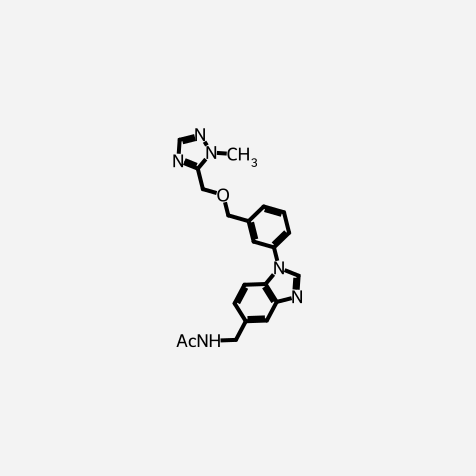 CC(=O)NCc1ccc2c(c1)ncn2-c1cccc(COCc2ncnn2C)c1